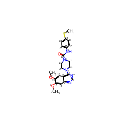 COc1cc2ncnc(N3CCN(C(=O)Nc4ccc(SC)cc4)CC3)c2cc1OC